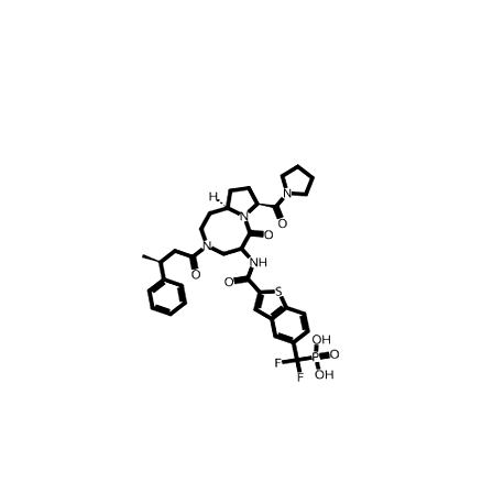 C[C@@H](CC(=O)N1CC[C@H]2CC[C@@H](C(=O)N3CCCC3)N2C(=O)C(NC(=O)c2cc3cc(C(F)(F)P(=O)(O)O)ccc3s2)C1)c1ccccc1